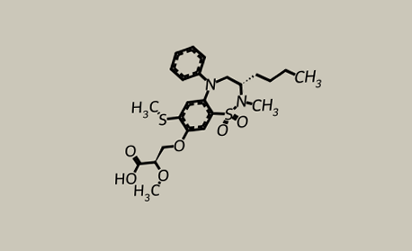 CCCC[C@H]1CN(c2ccccc2)c2cc(SC)c(OC[C@@H](OC)C(=O)O)cc2S(=O)(=O)N1C